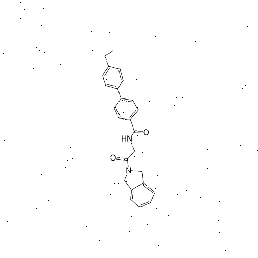 CCc1ccc(-c2ccc(C(=O)NCC(=O)N3Cc4ccccc4C3)cc2)cc1